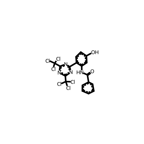 O=C(Nc1cc(O)ccc1-c1nc(C(Cl)(Cl)Cl)nc(C(Cl)(Cl)Cl)n1)c1ccccc1